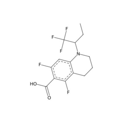 CCC(N1CCCc2c1cc(F)c(C(=O)O)c2F)C(F)(F)F